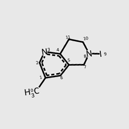 Cc1cnc2c(c1)CN(I)CC2